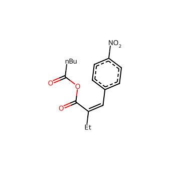 CCCCC(=O)OC(=O)C(=Cc1ccc([N+](=O)[O-])cc1)CC